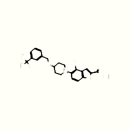 O=C(O)c1cc2c(Br)c(N3CCC(OCc4cccc(C(F)(F)F)c4)CC3)ccc2o1